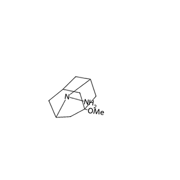 COC12CC3CC(C1)N(N)C(C3)C2